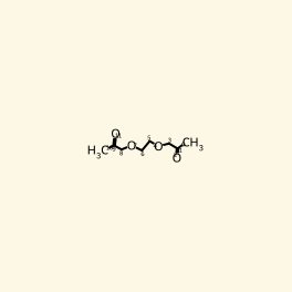 CC(=O)COCCOCC(C)=O